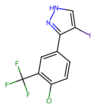 FC(F)(F)c1cc(-c2n[nH]cc2I)ccc1Cl